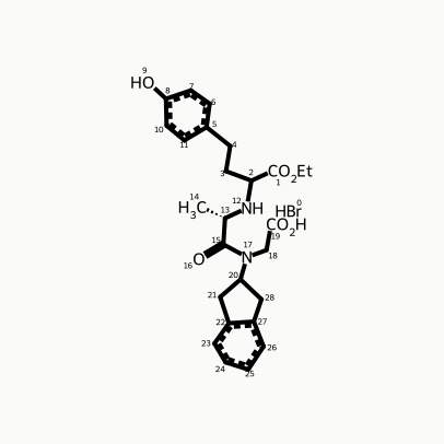 Br.CCOC(=O)C(CCc1ccc(O)cc1)N[C@@H](C)C(=O)N(CC(=O)O)C1Cc2ccccc2C1